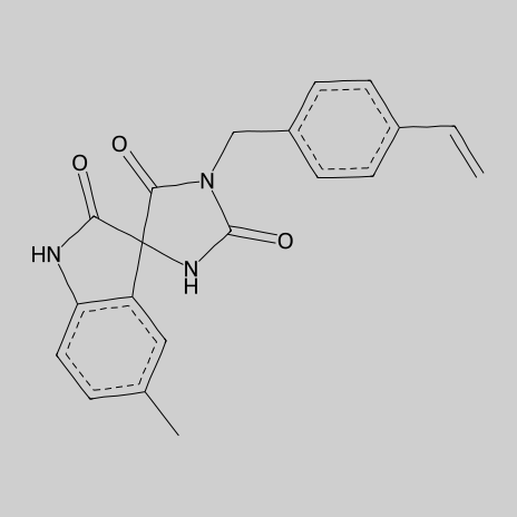 C=Cc1ccc(CN2C(=O)NC3(C(=O)Nc4ccc(C)cc43)C2=O)cc1